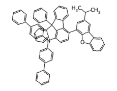 CC(C)c1cc(-c2ccc(N(c3ccc(-c4ccccc4)cc3)c3ccc(-c4ccccc4)cc3)c3c2-c2ccccc2C3(c2ccccc2)c2ccccc2)c2oc3ccccc3c2c1